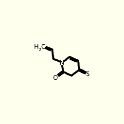 C=CCN1C=CC(=S)CC1=O